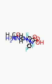 C[C@H](N)C(=O)N[C@H]1[C@@H]2CN(c3nc4c(cc3F)c(=O)c(C(=O)O)cn4-c3ccc(F)cc3F)C[C@@H]21